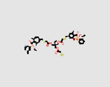 C=C/C=C(\C=C/C)P(OCC)C(=O)C1=C(C)C=C(CSCC(=O)OCC(CC)(COC(=O)CS)COC(=O)CSCc2cc(C)c(C(=O)[PH](O)(OCC)c3ccccc3)c(C)c2)CC=C1C